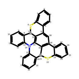 c1ccc2c(c1)SB1c3ccccc3N3c4ccccc4B4Sc5ccccc5-c5cc-2c1c3c54